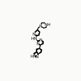 c1cc(-c2ccc3n[nH]cc3c2)nc(Nc2ccc(CN3CCNCC3)cn2)n1